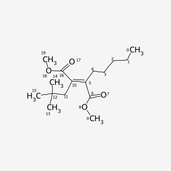 CCCCCC(C(=O)OC)=C(CC(C)(C)C)C(=O)OC